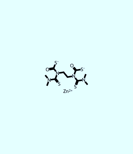 CN(C)C(=S)N(CCN(C(=O)[S-])C(=S)N(C)C)C(=O)[S-].[Zn+2]